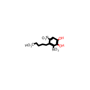 O=C(O)CCCCc1c([N+](=O)[O-])cc(O)c(O)c1[N+](=O)[O-]